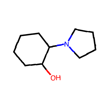 OC1CCCCC1N1CCCC1